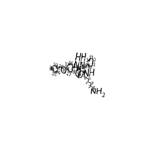 NCCCCCCNC(=O)C(NC(=O)Nc1ccc(OCc2ccccc2)cc1)c1ccccc1